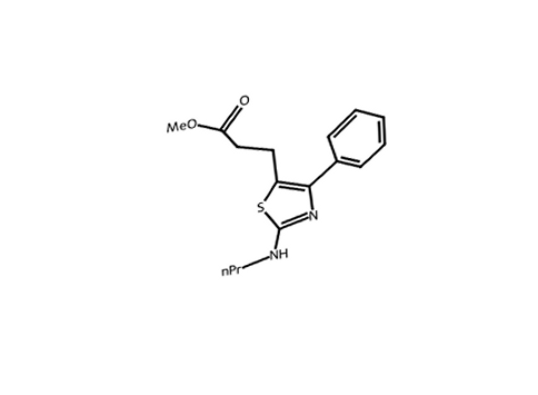 CCCNc1nc(-c2ccccc2)c(CCC(=O)OC)s1